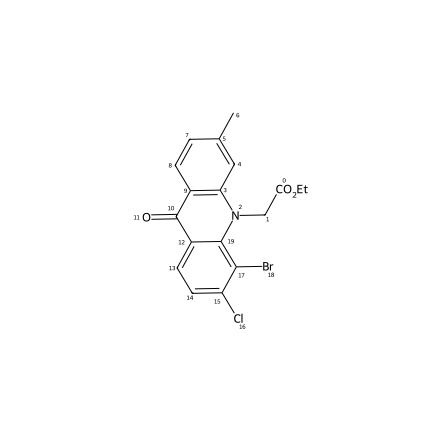 CCOC(=O)Cn1c2cc(C)ccc2c(=O)c2ccc(Cl)c(Br)c21